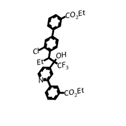 CCOC(=O)c1cccc(-c2ccc(C(CC)C(O)(c3ccnc(-c4cccc(C(=O)OCC)c4)c3)C(F)(F)F)c(Cl)c2)c1